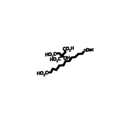 CCCCCCCCCCCCCCCCCCCCCC(=O)O.O=C(O)CC(O)(CC(=O)O)C(=O)O